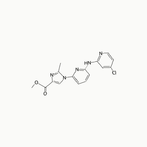 COC(=O)c1cn(-c2cccc(Nc3cc(Cl)ccn3)n2)c(C)n1